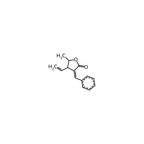 C=CC1C(=Cc2ccccc2)C(=O)OC1C